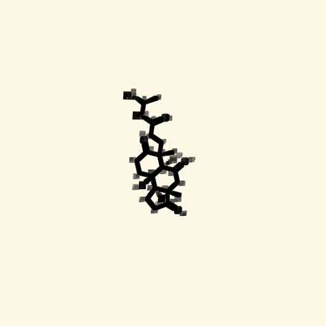 CC[C@H](C)[C@@H](C)NC(=O)CC[C@@]1(C)C(=O)CC[C@@H]2[C@@H]1C(=O)C[C@]1(C)C(=O)CC[C@@H]21